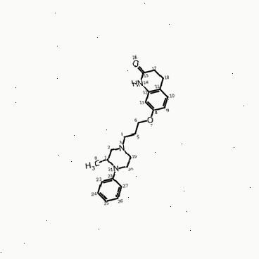 CC1CN(CCCOc2ccc3c(c2)NC(=O)CC3)CCN1c1ccccc1